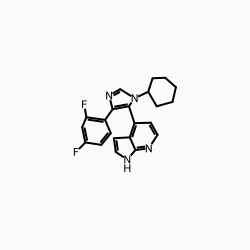 Fc1ccc(-c2ncn(C3CCCCC3)c2-c2ccnc3[nH]ccc23)c(F)c1